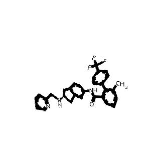 Cc1cccc(C(=O)Nc2ccc3c(c2)C[C@@H](NCc2ccccn2)C3)c1-c1ccc(C(F)(F)F)cc1